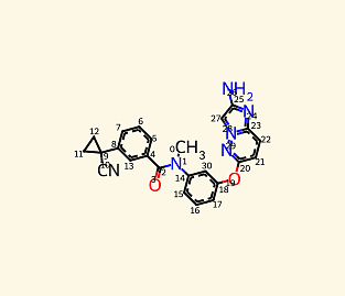 CN(C(=O)c1cccc(C2(C#N)CC2)c1)c1cccc(Oc2ccc3nc(N)cn3n2)c1